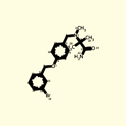 CN(Cc1ccc(OCc2cccc(Br)c2)cc1)C(C)(C)C(N)=O